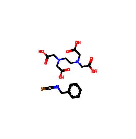 O=C(O)CN(CCN(CC(=O)O)CC(=O)O)CC(=O)O.S=C=NCc1ccccc1